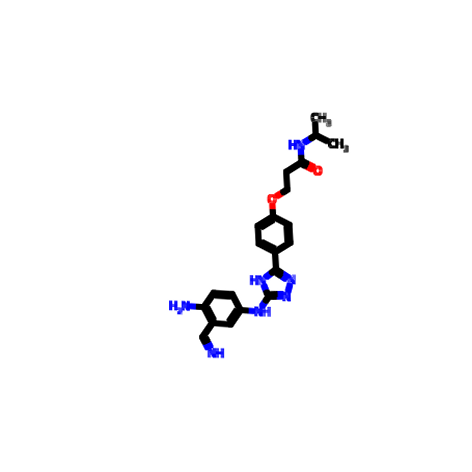 CC(C)NC(=O)CCOc1ccc(-c2nnc(Nc3ccc(N)c(C=N)c3)[nH]2)cc1